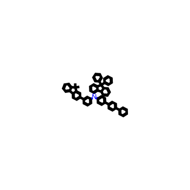 CC1(C)c2ccccc2-c2ccc(-c3cccc(N(c4ccc(-c5ccc(-c6ccccc6)cc5)cc4)c4cccc5c4C4C=CC=CC4C5(c4ccccc4)c4ccccc4)c3)cc21